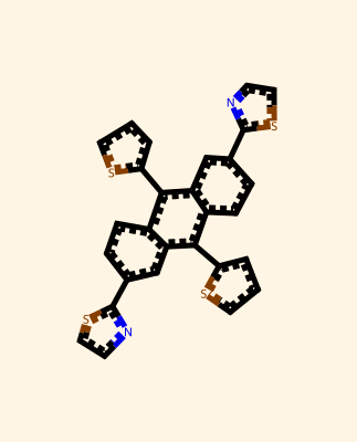 c1csc(-c2c3ccc(-c4nccs4)cc3c(-c3cccs3)c3ccc(-c4nccs4)cc23)c1